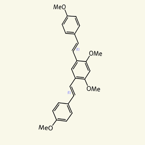 COc1ccc(/C=C/c2cc(/C=C/c3ccc(OC)cc3)c(OC)cc2OC)cc1